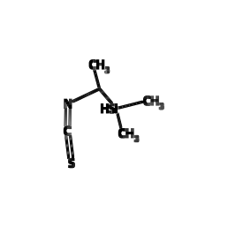 CC(N=C=S)[SiH](C)C